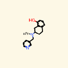 CCCN(Cc1cccnc1)C1CCc2cccc(O)c2C1